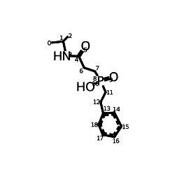 CC(C)NC(=O)CCP(=O)(O)CCc1ccccc1